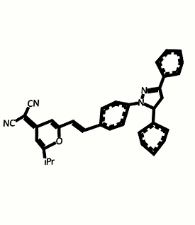 CC(C)C1=CC(=C(C#N)C#N)C=C(/C=C/c2ccc(N3N=C(c4ccccc4)CC3c3ccccc3)cc2)O1